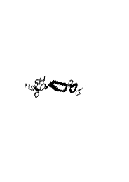 O=C(OCc1ccc(Oc2ccc(Cl)cc2)cc1)C(S)S